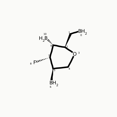 BC[C@H]1OC[C@@H](B)[C@H](F)[C@@H]1B